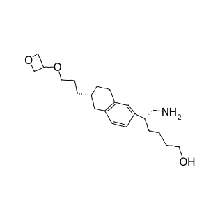 NC[C@H](CCCCO)c1ccc2c(c1)CC[C@@H](CCCOC1COC1)C2